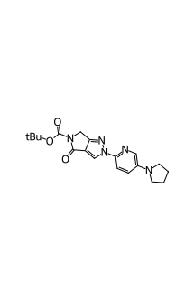 CC(C)(C)OC(=O)N1Cc2nn(-c3ccc(N4CCCC4)cn3)cc2C1=O